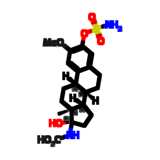 COc1cc2c(cc1OS(N)(=O)=O)CC[C@@H]1[C@@H]2CC[C@@]2(C)[C@H]1CC[C@@]2(O)NC(=O)O